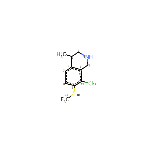 CC1CNCc2c1ccc(SC(F)(F)F)c2Cl